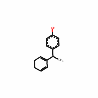 CC(C1=CCCC=C1)c1ccc(O)cc1